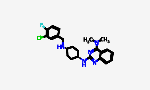 CN(C)c1nc(N[C@H]2CC[C@@H](NCc3ccc(F)c(Cl)c3)CC2)nc2ccccc12